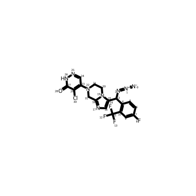 [N-]=[N+]=NC(c1ccc(F)cc1C(F)(F)F)c1cnc2n1CCN(c1cn[nH]c(=O)c1Cl)C2